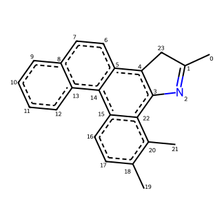 CC1=Nc2c(c3ccc4ccccc4c3c3ccc(C)c(C)c23)C1